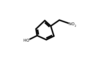 O=[N+]([O-])Cc1ccc(O)cc1